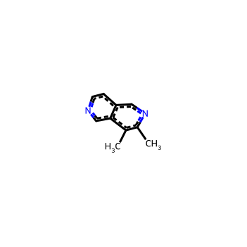 Cc1ncc2ccncc2c1C